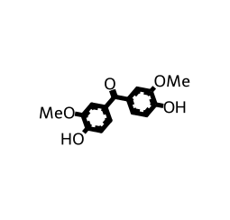 COc1cc(C(=O)c2ccc(O)c(OC)c2)ccc1O